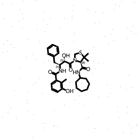 Cc1c(O)cccc1C(=O)N[C@@H](Cc1ccccc1)[C@H](O)C(=O)N1CSC(C)(C)[C@H]1C(=O)NC1CCCCCC1